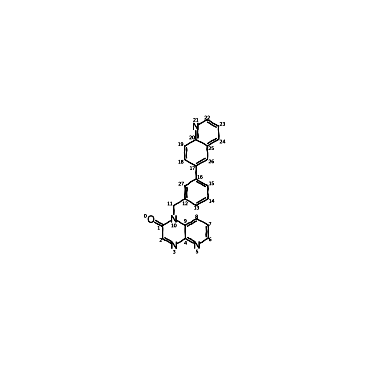 O=c1cnc2ncccc2n1Cc1cccc(-c2ccc3ncccc3c2)c1